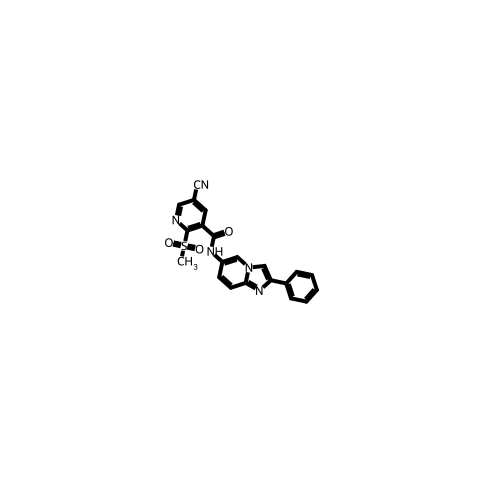 CS(=O)(=O)c1ncc(C#N)cc1C(=O)Nc1ccc2nc(-c3ccccc3)cn2c1